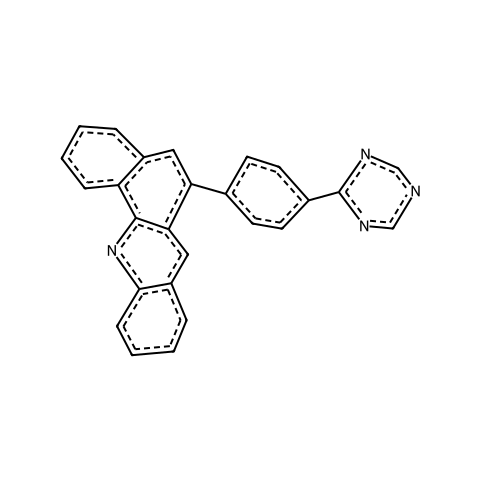 c1ccc2nc3c(cc2c1)c(-c1ccc(-c2ncncn2)cc1)cc1ccccc13